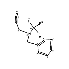 N#CCN(Cc1ccccc1)C(F)(F)F